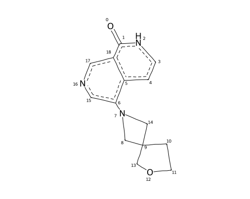 O=c1[nH]ccc2c(N3CC4(CCOC4)C3)cncc12